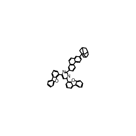 c1ccc2c(c1)oc1c(-c3cc(-c4cccc5c4oc4ccccc45)nc(-c4ccc5c(ccc6cc(C78CC9CC(CC(C9)C7)C8)ccc65)c4)n3)cccc12